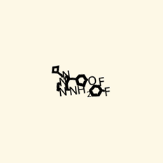 Nc1nccn2c(C3CCC3)nc(-c3ccc(Oc4cccc(F)c4F)cc3)c12